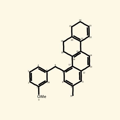 COc1cccc(Cc2cc(C)cc3ccc4c(c23)CCC2=C4C=CCC2)c1